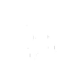 C=C.FB(F)F